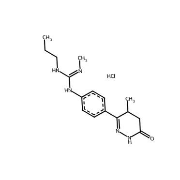 CCCNC(=NC)Nc1ccc(C2=NNC(=O)CC2C)cc1.Cl